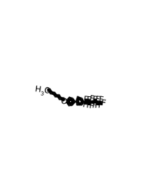 CCCCCCCCOc1ccc([C@H]2CC[C@H](C(F)(F)C(F)(F)C(F)(F)C(F)(F)C(F)(F)C(F)(F)F)CC2)cc1